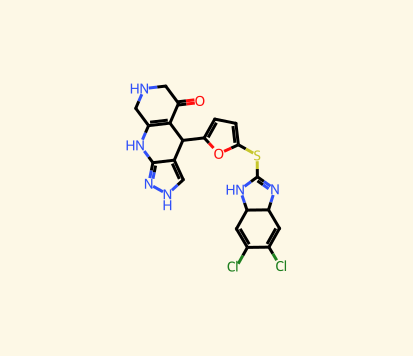 O=C1CNCC2=C1C(c1ccc(SC3=NC4C=C(Cl)C(Cl)=CC4N3)o1)c1c[nH]nc1N2